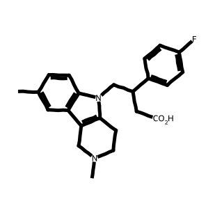 Cc1ccc2c(c1)c1c(n2CC(CC(=O)O)c2ccc(F)cc2)CCN(C)C1